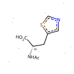 CC(=O)N[C@@H](Cc1cncs1)C(=O)O